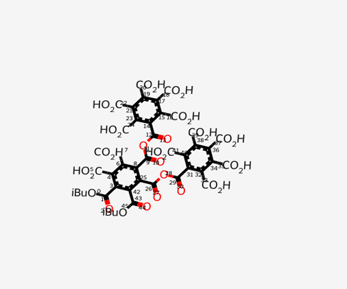 CC(C)COC(=O)c1c(C(=O)O)c(C(=O)O)c(C(=O)OC(=O)c2c(C(=O)O)c(C(=O)O)c(C(=O)O)c(C(=O)O)c2C(=O)O)c(C(=O)OC(=O)c2c(C(=O)O)c(C(=O)O)c(C(=O)O)c(C(=O)O)c2C(=O)O)c1C(=O)OCC(C)C